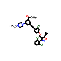 COC(=O)c1cc(C#Cc2ccc(OCc3c(-c4c(Cl)cccc4Cl)noc3C3CC3)cc2Cl)cc(N2CCN(C(=O)O)CC2)c1